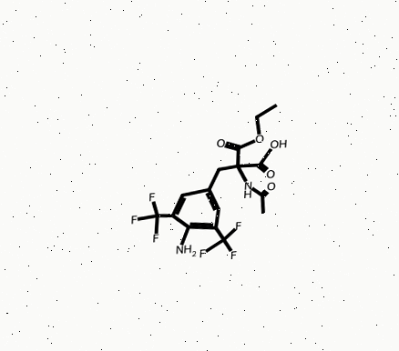 CCOC(=O)C(Cc1cc(C(F)(F)F)c(N)c(C(F)(F)F)c1)(NC(C)=O)C(=O)O